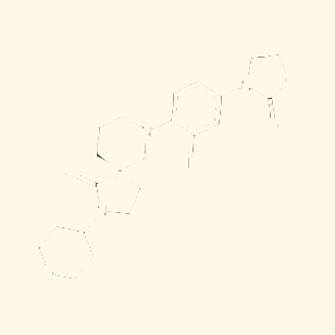 O=C1OCCN1c1ccc(N2CCC[C@]3(CCN(C4CCOCC4)C3=O)C2)c(F)c1